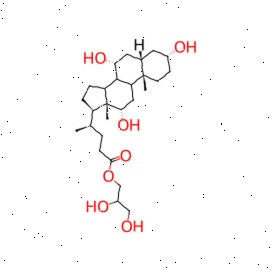 C[C@H](CCC(=O)OCC(O)CO)[C@H]1CCC2C3C(C[C@H](O)[C@@]21C)[C@@]1(C)CC[C@@H](O)C[C@H]1C[C@H]3O